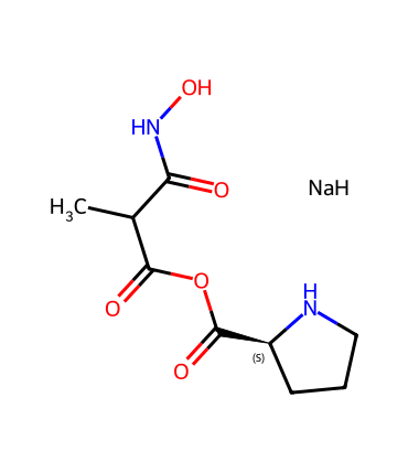 CC(C(=O)NO)C(=O)OC(=O)[C@@H]1CCCN1.[NaH]